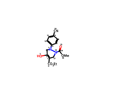 CCOC(=O)C1=C(O)CN(c2ccc(C#N)cc2)N(C(=O)OC)C1